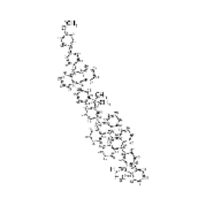 COc1ccc(-c2ccc(-c3c4ccccc4c(-c4ccc5c(c4)C(C)(C)c4cc(-c6c7ccccc7c(-c7c8ccccc8c(-c8ccc9c(c8)C(C)(C)c8ccccc8-9)c8ccccc78)c7ccccc67)ccc4-5)c4ccccc34)cc2)cc1